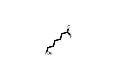 CCCCCCCCCC([O])F